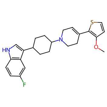 COc1ccsc1C1=CCN(C2CCC(c3c[nH]c4ccc(F)cc34)CC2)CC1